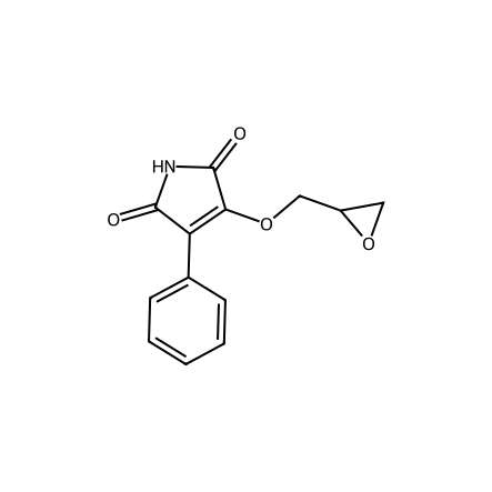 O=C1NC(=O)C(c2ccccc2)=C1OCC1CO1